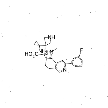 Cn1c2c(c(C(=O)O)c1C1(C3(N)CC3)CNC1)CCc1cnc(-c3cccc(F)c3)cc1-2